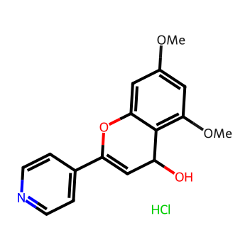 COc1cc(OC)c2c(c1)OC(c1ccncc1)=CC2O.Cl